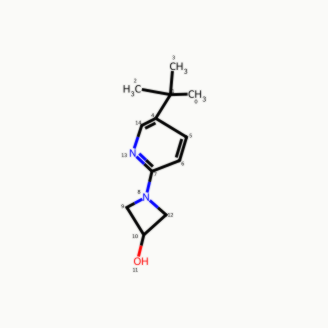 CC(C)(C)c1ccc(N2CC(O)C2)nc1